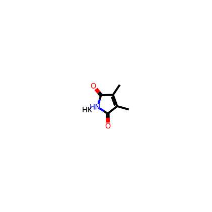 CC1=C(C)C(=O)NC1=O.[KH]